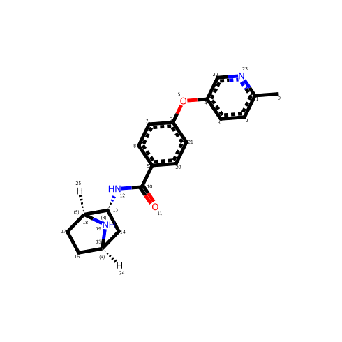 Cc1ccc(Oc2ccc(C(=O)N[C@@H]3C[C@H]4CC[C@@H]3N4)cc2)cn1